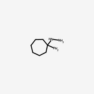 NNC1(P)CCCCCC1